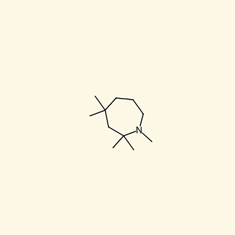 CN1CCCC(C)(C)CC1(C)C